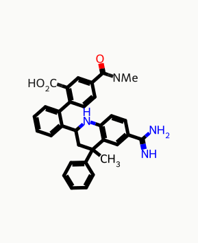 CNC(=O)c1ccc(-c2ccccc2C2CC(C)(c3ccccc3)c3cc(C(=N)N)ccc3N2)c(C(=O)O)c1